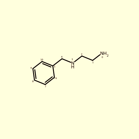 NCCNCc1[c]cccc1